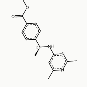 COC(=O)c1ccc([C@H](C)Nc2cc(C)nc(C)n2)cc1